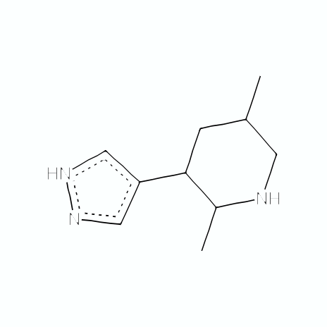 CC1CNC(C)C(c2cn[nH]c2)C1